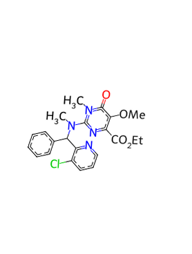 CCOC(=O)c1nc(N(C)C(c2ccccc2)c2ncccc2Cl)n(C)c(=O)c1OC